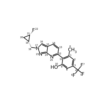 Cc1cc(C(F)(F)F)cc(O)c1-c1ccc2cn(C[C@@H]3C[C@@H]3F)nc2n1